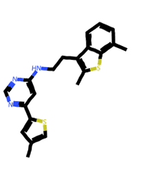 Cc1csc(-c2cc(NCCc3c(C)sc4c(C)cccc34)ncn2)c1